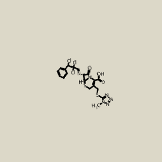 Cn1nnnc1SCC1=C(C(=O)O)N2C(=O)[C@@H](N=CC(Cl)(Cl)C(Cl)c3ccccc3)[C@@H]2SC1